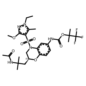 CCn1nc(OC)c(S(=O)(=O)N2C[C@H](CC(C)(C)NC(C)=O)Oc3ccc(NC(=O)OC(C)(C)C(F)(F)F)cc32)c1C